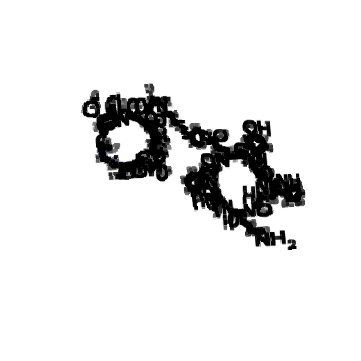 COc1cc2cc(c1Cl)N(C)C(=O)C[C@H](OC(=O)[C@H](C)N(C)C(=O)CCSSC1CCN(C(=O)CC[C@H]3C(=O)N[C@@H](Cc4ccc(O)cc4)C(=O)N[C@H](Cc4c[nH]c5ccccc45)C(=O)N[C@@H](CCCCN)C(=O)N[C@@H]([C@@H](C)O)C(O)N[C@@H](Cc4ccccc4)C(=O)N3C)CC1)[C@]1(C)O[C@H]1[C@H](C)[C@@H]1C[C@@](O)(NC(=O)O1)[C@H](OC)/C=C/C=C(\C)C2